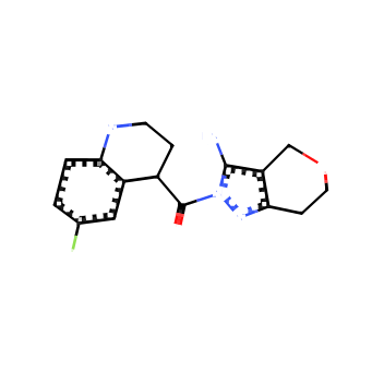 Nc1c2c(nn1C(=O)C1CCNc3ccc(F)cc31)CCOC2